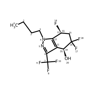 CCCCn1nc(C(F)(F)F)c2c1[C@@H](F)CC(F)(F)[C@H]2O